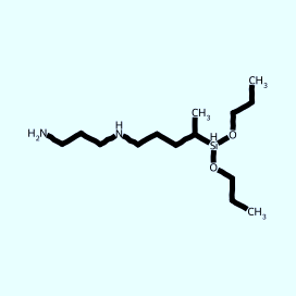 CCCO[SiH](OCCC)C(C)CCCNCCCN